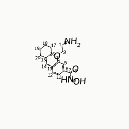 NCCOc1cc(C(=O)NO)ccc1CC1CCCCC1